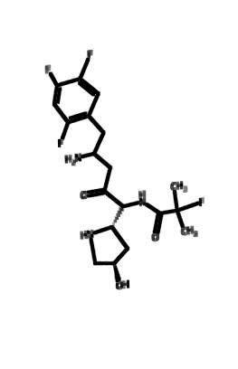 CC(C)(F)C(=O)NC(C(=O)CC(N)Cc1cc(F)c(F)cc1F)[C@@H]1C[C@@H](O)CN1